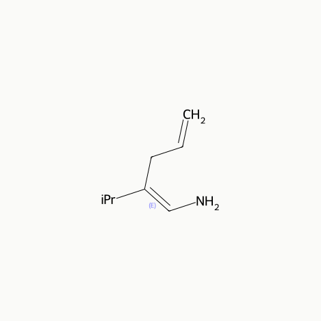 C=CC/C(=C\N)C(C)C